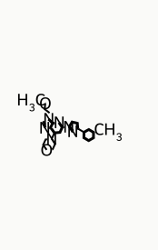 COCCn1cnc2c(N3CCOCC3)cc(-n3ccc(-c4cccc(C)c4)n3)nc21